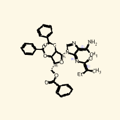 CC\C(C)=C(Cl)/N=C1\C(=C(/C)N)N=CN1[C@@H]1O[C@H](COC(=O)c2ccccc2)C(OC(=O)c2ccccc2)C1OC(=O)c1ccccc1